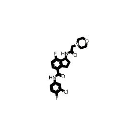 O=C(CN1CCOCC1)NC1CCc2c(C(=O)Nc3ccc(F)c(Cl)c3)ccc(F)c21